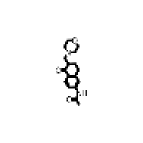 CC(=O)Nc1ccc2c(c1)CCC(CN1CCOCC1)C2=O